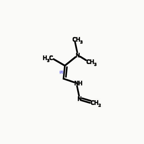 C=NN/C=C(/C)N(C)C